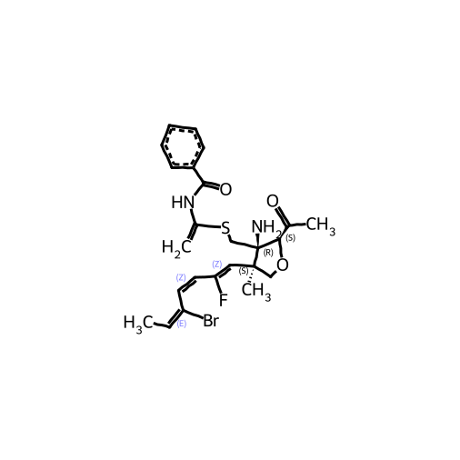 C=C(NC(=O)c1ccccc1)SC[C@]1(N)[C@@H](C(C)=O)OC[C@@]1(C)/C=C(F)/C=C\C(Br)=C/C